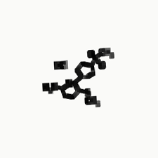 CSc1ccc(N)nc1-c1ccc(S(C)(=O)=O)cc1.Cl